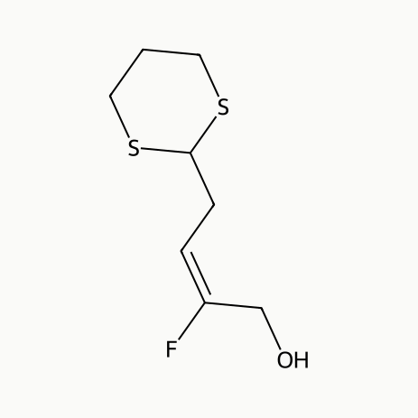 OC/C(F)=C\CC1SCCCS1